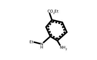 CCNc1cc(C(=O)OCC)ccc1N